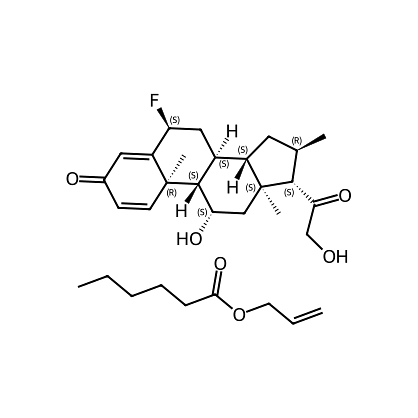 C=CCOC(=O)CCCCC.C[C@@H]1C[C@H]2[C@@H]3C[C@H](F)C4=CC(=O)C=C[C@]4(C)[C@H]3[C@@H](O)C[C@]2(C)[C@H]1C(=O)CO